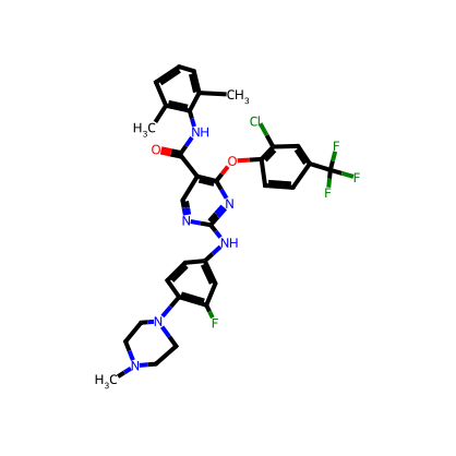 Cc1cccc(C)c1NC(=O)c1cnc(Nc2ccc(N3CCN(C)CC3)c(F)c2)nc1Oc1ccc(C(F)(F)F)cc1Cl